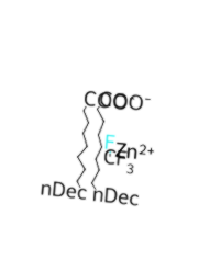 CCCCCCCCCCCCCCCCCC(=O)[O-].CCCCCCCCCCCCCCCCCC(=O)[O-].FC(F)(F)F.[Zn+2]